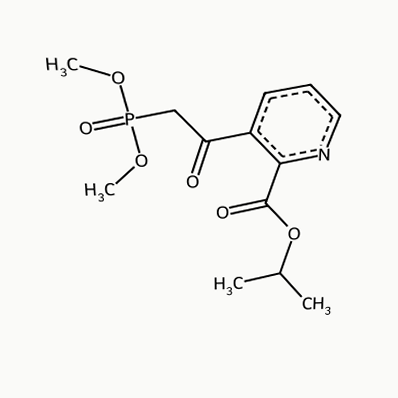 COP(=O)(CC(=O)c1cccnc1C(=O)OC(C)C)OC